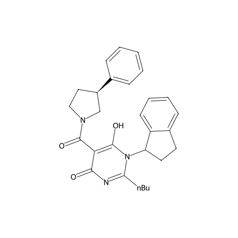 CCCCc1nc(=O)c(C(=O)N2CC[C@@H](c3ccccc3)C2)c(O)n1C1CCc2ccccc21